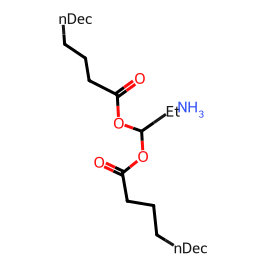 CCCCCCCCCCCCCC(=O)OC(CC)OC(=O)CCCCCCCCCCCCC.N